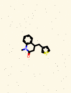 CN1C(=O)CC(Cc2ccsc2)c2ccccc21